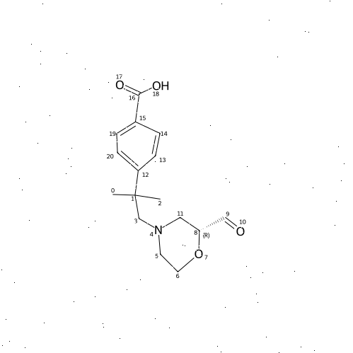 CC(C)(CN1CCO[C@@H](C=O)C1)c1ccc(C(=O)O)cc1